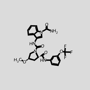 CO[C@@H]1C[C@@H](C(=O)Nc2cccc(OC(F)(F)F)c2)N(C(=O)Nc2cn(C(N)=O)c3ccccc23)C1